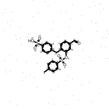 Cc1ccc(S(=O)(=O)Oc2cc(C=O)ccc2Cc2ccc(S(=O)(=O)O)cc2)cc1